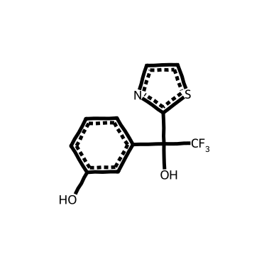 Oc1cccc(C(O)(c2nccs2)C(F)(F)F)c1